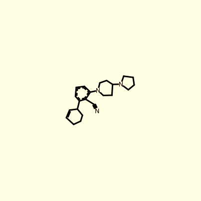 N#Cc1c(C2C=CCCC2)cccc1N1CCC(N2CCCC2)CC1